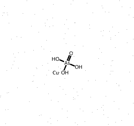 O=[As](O)(O)O.[Cu]